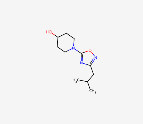 CC(C)Cc1noc(N2CCC(O)CC2)n1